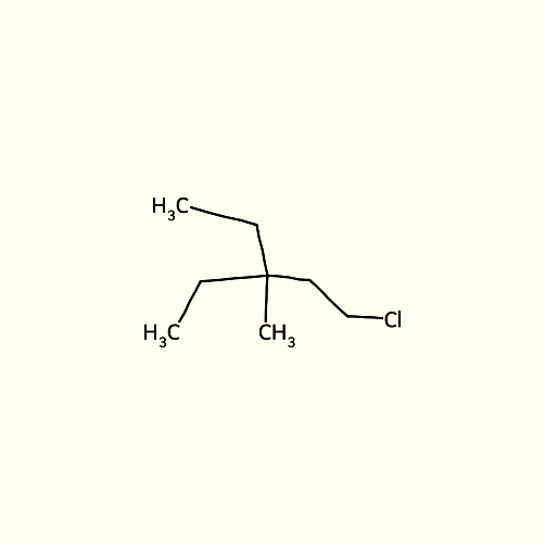 CCC(C)(CC)CCCl